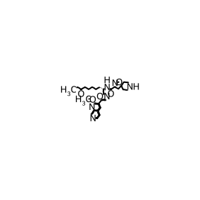 CCC(=O)CCCCC[C@H](NC(=O)C1=NOC2(CCNCC2)C1)c1ncc(-c2cc3ccncc3nc2OC)o1